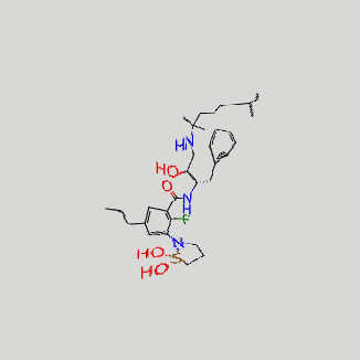 CCCc1cc(C(=O)N[C@@H](Cc2ccccc2)[C@@H](O)CNC(C)(C)CCCC(C)C)c(F)c(N2CCCS2(O)O)c1